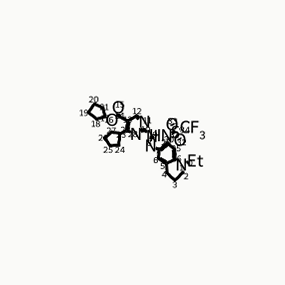 CCN1CCCc2cc(N=Nc3ncc(C(=O)OC4CCCC4)c(C4CCCC4)n3)c(NS(=O)(=O)C(F)(F)F)cc21